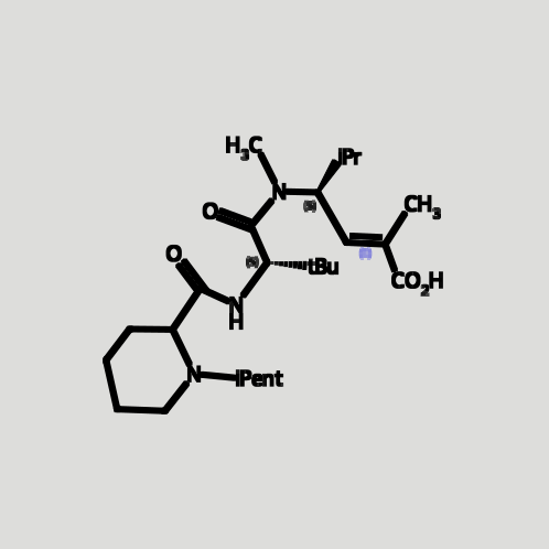 CCCC(C)N1CCCCC1C(=O)N[C@H](C(=O)N(C)[C@H](/C=C(\C)C(=O)O)C(C)C)C(C)(C)C